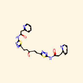 O=C(CCc1nnc(NC(=O)Cc2ccccn2)s1)CCc1nnc(NC(=O)Cc2ccccn2)s1